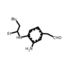 CCC(C)CC(CC)Nc1ccc(CC=O)cc1N